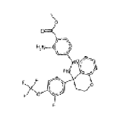 COC(=O)c1ccc(C(=O)NC2(c3ccc(OC(F)(F)F)c(F)c3)CCOc3cccnc32)cc1N